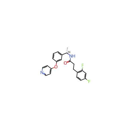 C[C@H](NC(=O)CCc1ccc(F)cc1F)c1cccc(Oc2ccncc2)c1